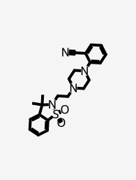 CC1(C)c2ccccc2S(=O)(=O)N1CCN1CCN(c2ccccc2C#N)CC1